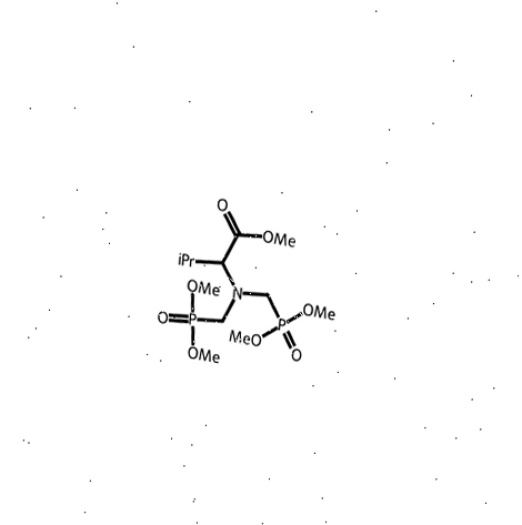 COC(=O)C(C(C)C)N(CP(=O)(OC)OC)CP(=O)(OC)OC